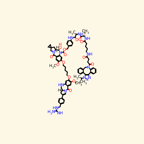 CC[C@H](NC(=O)CCCCNC(=O)CCC(=O)N1Cc2ccccc2-c2c(nnn2C(C)C)-c2ccccc21)C(=O)N[C@@H](C)C(=O)Nc1ccc(COC(=O)N2c3cc(OCCCCCOc4cc5c(cc4OC)C(=O)N4C=C(c6ccc(CNC(=N)N)cc6)C[C@H]4CN5)c(OC)cc3C(=O)N3CC4(CC4)C[C@H]3C2O)cc1